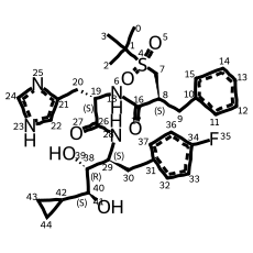 CC(C)(C)S(=O)(=O)C[C@@H](Cc1ccccc1)C(=O)N[C@@H](Cc1c[nH]cn1)C(=O)N[C@@H](Cc1ccc(F)cc1)[C@@H](O)[C@@H](O)C1CC1